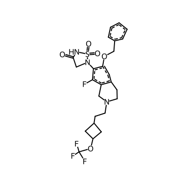 O=C1CN(c2c(OCc3ccccc3)cc3c(c2F)CN(CCC2CC(OC(F)(F)F)C2)CC3)S(=O)(=O)N1